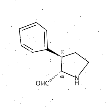 O=[C][C@H]1NCC[C@@H]1c1ccccc1